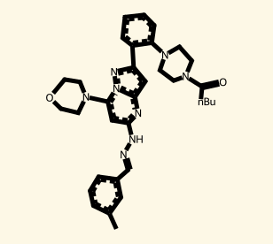 CCCCC(=O)N1CCN(c2ccccc2-c2cc3nc(N/N=C/c4cccc(C)c4)cc(N4CCOCC4)n3n2)CC1